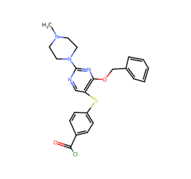 CN1CCN(c2ncc(Sc3ccc(C(=O)Cl)cc3)c(OCc3ccccc3)n2)CC1